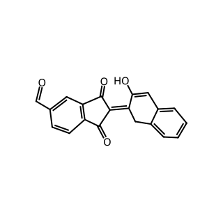 O=Cc1ccc2c(c1)C(=O)/C(=C1/Cc3ccccc3C=C1O)C2=O